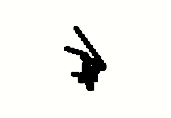 CCCCCCCCCCCCCCCCC=CC1CC(=O)N(c2ccc(Cl)c(Nc3nn(-c4c(Cl)cc(Cl)cc4Cl)c(OCCCCC)c3Sc3ccc(Oc4ccc(CCCCCCCC)cc4)cc3)c2)C1=O